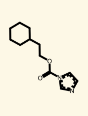 O=C(OCCC1CCCCC1)n1ccnc1